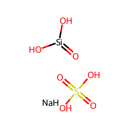 O=S(=O)(O)O.O=[Si](O)O.[NaH]